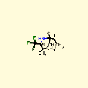 CCC(C)(C)N[C@H](C(C)C)C(F)(F)F